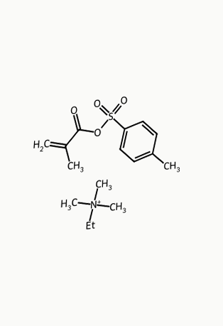 C=C(C)C(=O)OS(=O)(=O)c1ccc(C)cc1.CC[N+](C)(C)C